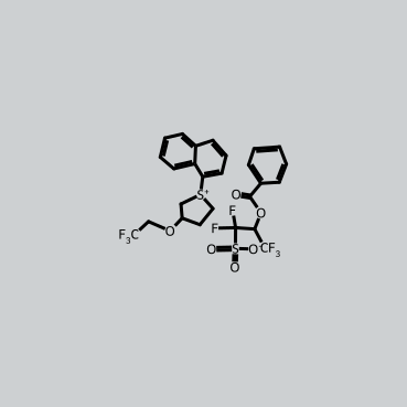 FC(F)(F)COC1CC[S+](c2cccc3ccccc23)C1.O=C(OC(C(F)(F)F)C(F)(F)S(=O)(=O)[O-])c1ccccc1